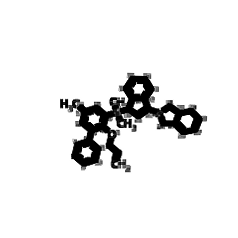 C=CCOc1c(-c2ccccc2)cc(C)cc1[Si](C)(C)C1C=C(N2CC3=CC=CCC3C2)c2ccccc21